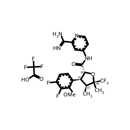 COc1c([C@H]2[C@H](C(=O)Nc3ccnc(C(=N)N)c3)O[C@@](C)(C(F)(F)F)[C@H]2C)ccc(F)c1F.O=C(O)C(F)(F)F